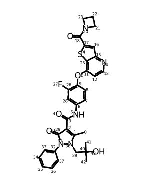 Cc1c(C(=O)Nc2ccc(Oc3ccnc4cc(C(=O)N5CCC5)sc34)c(F)c2)c(=O)n(-c2ccccc2)n1CC(C)(C)O